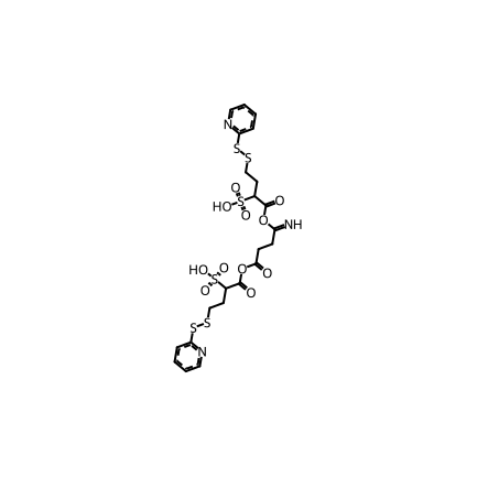 N=C(CCC(=O)OC(=O)C(CCSSc1ccccn1)S(=O)(=O)O)OC(=O)C(CCSSc1ccccn1)S(=O)(=O)O